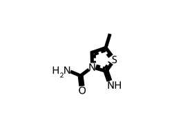 Cc1cn(C(N)=O)c(=N)s1